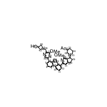 COc1nc(-c2cccc(-c3cccc(-c4cc5c(c(OC)n4)C(N4CCC[C@H](C(C)=O)C4)CC5)c3Cl)c2Cl)cnc1CN1CC(O)C1